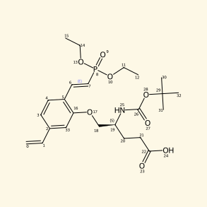 C=Cc1ccc(/C=C/P(=O)(OCC)OCC)c(OC[C@H](CCC(=O)O)NC(=O)OC(C)(C)C)c1